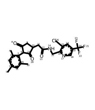 Cc1cc(C)c(C2C(=O)CC(CC(=O)NCc3ncc(C(F)(F)F)cc3Cl)C2=O)c(C)c1